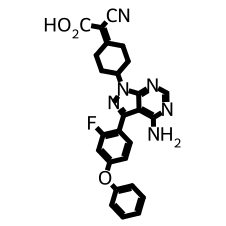 N#CC(C(=O)O)=C1CCC(n2nc(-c3ccc(Oc4ccccc4)cc3F)c3c(N)ncnc32)CC1